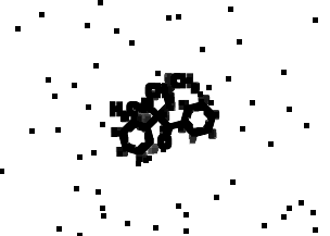 C=CCC(C(=O)c1ccccc1)(c1ccccc1)N(C)C